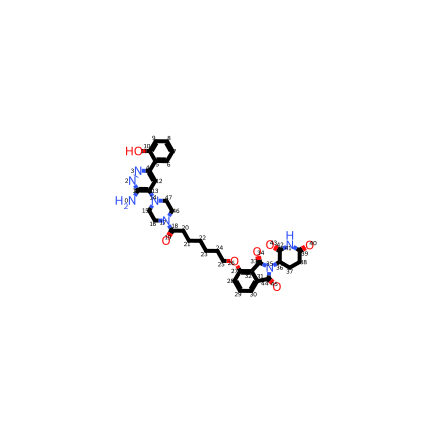 Nc1nnc(-c2ccccc2O)cc1N1CCN(C(=O)CCCCCCOc2cccc3c2C(=O)N(C2CCC(=O)NC2=O)C3=O)CC1